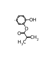 C=C(C)C(=O)Oc1c[c]ccc1O